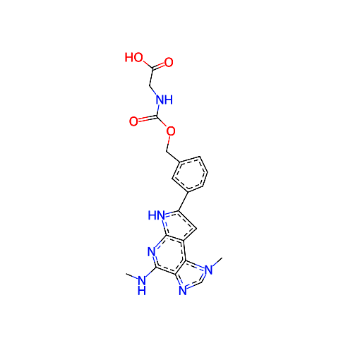 CNc1nc2[nH]c(-c3cccc(COC(=O)NCC(=O)O)c3)cc2c2c1ncn2C